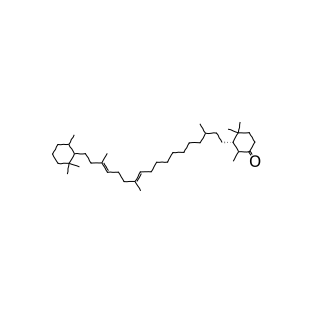 C/C(=C\CCCCCCCC(C)CC[C@H]1C(C)C(=O)CCC1(C)C)CC/C=C(\C)CCC1C(C)CCCC1(C)C